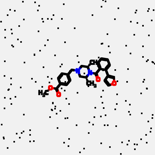 COC(=O)c1ccc(CN2C[C@@H](C)N(C(=O)c3ccccc3-c3ccoc3)[C@@H](C)C2)cc1